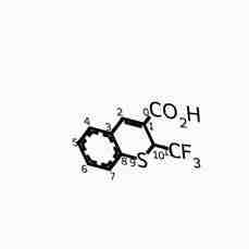 O=C(O)C1=Cc2ccccc2SC1C(F)(F)F